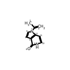 C=C(C)n1ccc2c(=O)[nH]ccc21